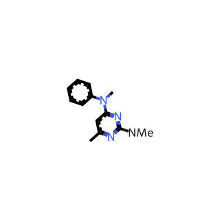 CNc1nc(C)cc(N(C)c2ccccc2)n1